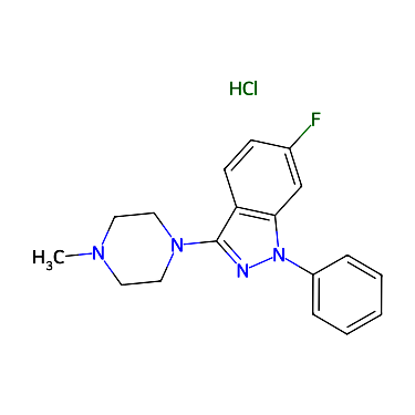 CN1CCN(c2nn(-c3ccccc3)c3cc(F)ccc23)CC1.Cl